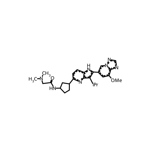 COc1cc(-c2[nH]c3ccc(C4CCC(NC(=O)CN(C)C)C4)nc3c2C(C)C)cn2ncnc12